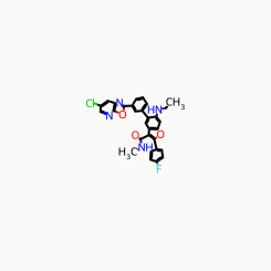 CCNc1cc2oc(-c3ccc(F)cc3)c(C(=O)NC)c2cc1-c1cccc(-c2nc3cc(Cl)cnc3o2)c1